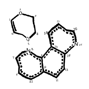 C1=COCCO1.c1cnc2c(c1)ccc1ncccc12